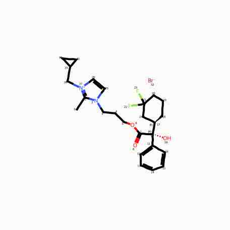 Cc1n(CCCOC(=O)[C@](O)(c2ccccc2)[C@@H]2CCCC(F)(F)C2)cc[n+]1CC1CC1.[Br-]